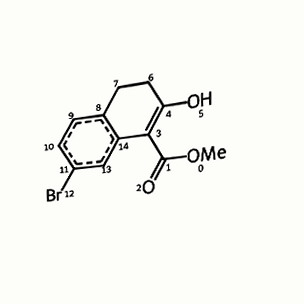 COC(=O)C1=C(O)CCc2ccc(Br)cc21